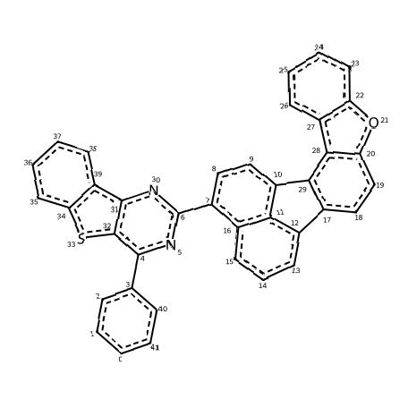 c1ccc(-c2nc(-c3ccc4c5c(cccc35)-c3ccc5oc6ccccc6c5c3-4)nc3c2sc2ccccc23)cc1